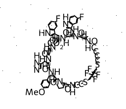 COc1ccc(C[C@@H]2NC(=O)[C@H](Cc3cnc[nH]3)NC(=O)[C@H](CC(=O)O)NC(=O)[C@H](Cc3c[nH]c4ccc(F)cc34)NC(=O)[C@H](Cc3c[nH]c4ccc(F)cc34)NC(=O)[C@@H](C)NC(=O)CCCCSc3c(F)c(F)c(c(F)c3F)SCCNC(=O)[C@]3(C)CCCN3C2=O)cc1